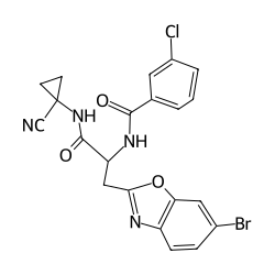 N#CC1(NC(=O)C(Cc2nc3ccc(Br)cc3o2)NC(=O)c2cccc(Cl)c2)CC1